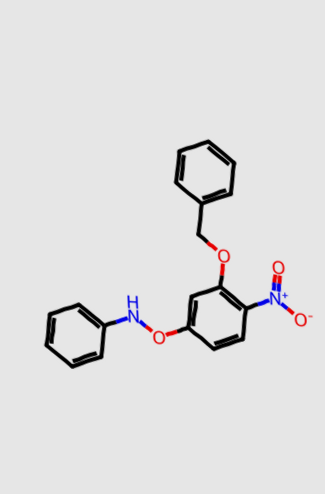 O=[N+]([O-])c1ccc(ONc2ccccc2)cc1OCc1ccccc1